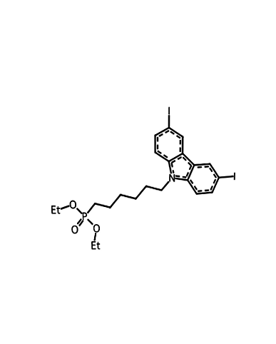 CCOP(=O)(CCCCCCn1c2ccc(I)cc2c2cc(I)ccc21)OCC